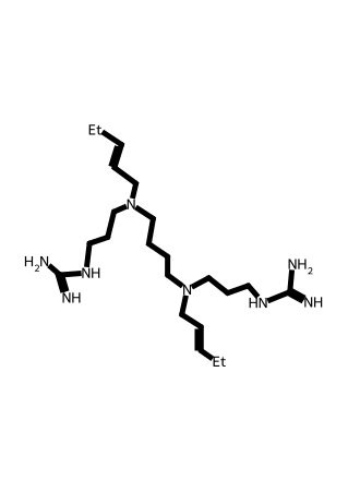 CCC=CCN(CCCCN(CC=CCC)CCCNC(=N)N)CCCNC(=N)N